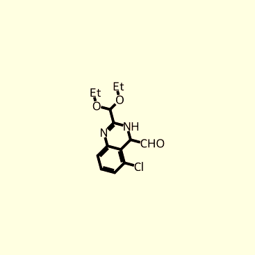 CCOC(OCC)C1=Nc2cccc(Cl)c2C(C=O)N1